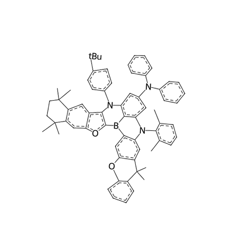 Cc1cccc(C)c1N1c2cc3c(cc2B2c4oc5cc6c(cc5c4N(c4ccc(C(C)(C)C)cc4)c4cc(N(c5ccccc5)c5ccccc5)cc1c42)C(C)(C)CCC6(C)C)Oc1ccccc1C3(C)C